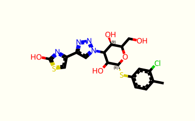 Cc1ccc(S[C@H]2OC(CO)[C@H](O)C(n3cc(-c4csc(O)n4)nn3)C2O)cc1Cl